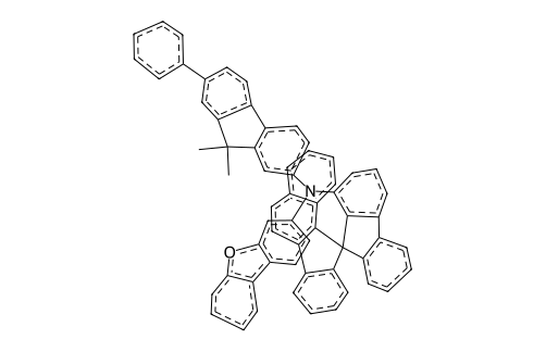 CC1(C)c2cc(-c3ccccc3)ccc2-c2ccc(N(c3ccc4c(c3)oc3ccccc34)c3cccc4c3C3(c5ccccc5-4)c4ccccc4-c4ccc5ccccc5c43)cc21